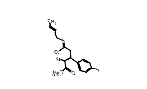 C/C=C/C/N=C(\CC)CC(c1ccc(F)cc1)C(CC)C(=O)OC